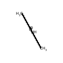 CCCCCCCCCCCCCCCCCCNCCOC(=O)CCCCCCCCCCCCCCCCC